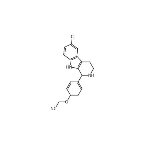 N#CCOc1ccc(C2NCCc3c2[nH]c2ccc(Cl)cc32)cc1